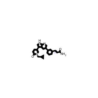 NC(=O)/C=C/c1cccc(-c2cnc3[nH]cc(-c4ccc(=O)n(CC5CC5)c4)c3c2)c1